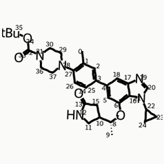 Cc1cc(-c2cc(O[C@H](C)C3CNC(=O)C3)c3c(c2)ncn3C2CC2)ccc1N1CCN(C(=O)OC(C)(C)C)CC1